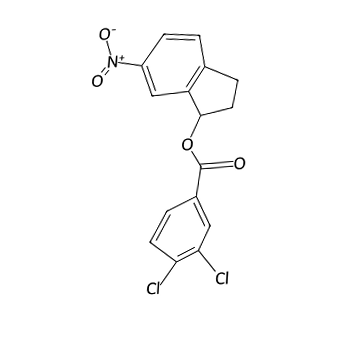 O=C(OC1CCc2ccc([N+](=O)[O-])cc21)c1ccc(Cl)c(Cl)c1